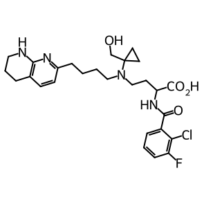 O=C(NC(CCN(CCCCc1ccc2c(n1)NCCC2)C1(CO)CC1)C(=O)O)c1cccc(F)c1Cl